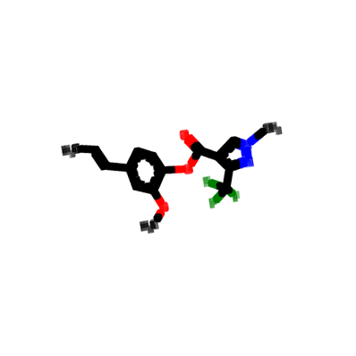 CC=Cc1ccc(OC(=O)c2cn(C)nc2C(F)(F)F)c(OC)c1